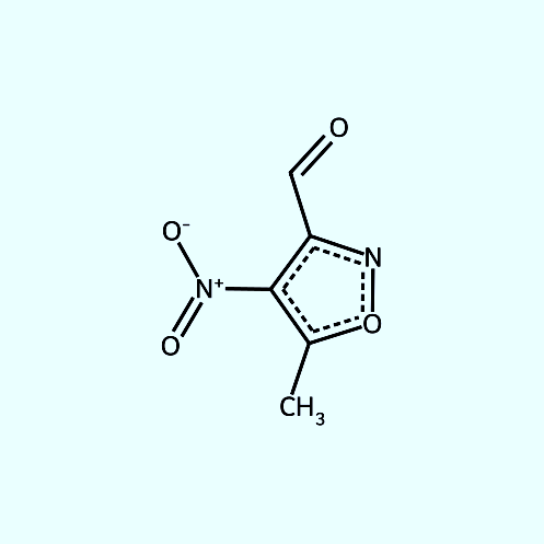 Cc1onc(C=O)c1[N+](=O)[O-]